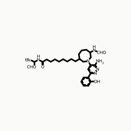 CC(C)(C)C(C=O)NC(=O)CCCCCCCCC1CCCC(NC=O)CN(c2cc(-c3ccccc3O)nnc2N)C1